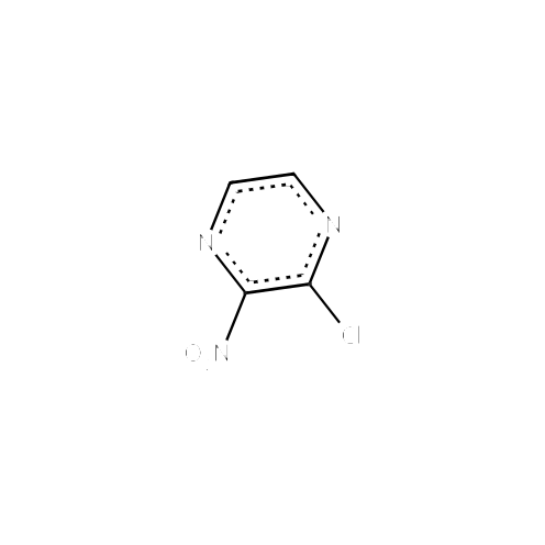 O=[N+]([O-])c1nccnc1Cl